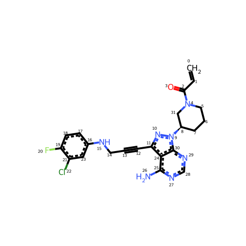 C=CC(=O)N1CCC[C@@H](n2nc(C#CCNc3ccc(F)c(Cl)c3)c3c(N)ncnc32)C1